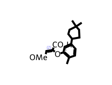 CO/C=C(\Oc1cc(C2CCC(C)(C)CC2)ccc1C)C(=O)O